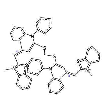 C[n+]1c(/C=C2\C=C(SCSC3=C/C(=C\c4sc5ccccc5[n+]4C)c4ccccc4N3c3ccccc3)N(c3ccccc3)c3ccccc32)sc2ccccc21